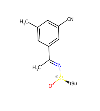 CC(=N[S@+]([O-])C(C)(C)C)c1cc(C)cc(C#N)c1